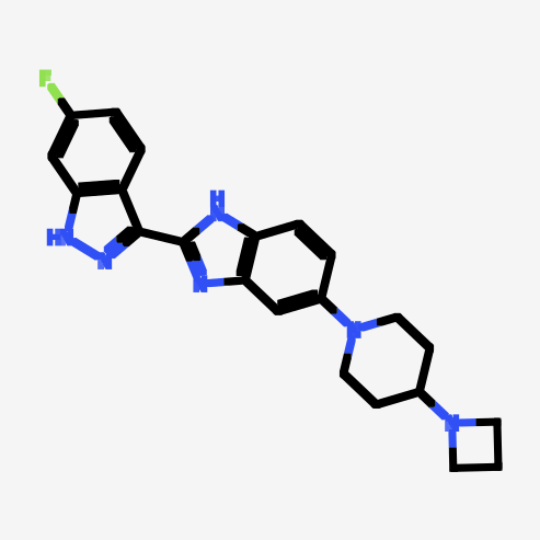 Fc1ccc2c(-c3nc4cc(N5CCC(N6CCC6)CC5)ccc4[nH]3)n[nH]c2c1